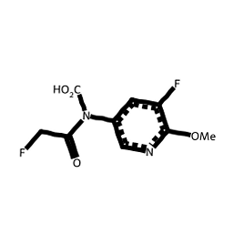 COc1ncc(N(C(=O)O)C(=O)CF)cc1F